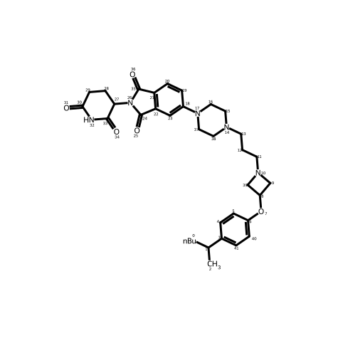 CCCCC(C)c1ccc(OC2CN(CCCN3CCN(c4ccc5c(c4)C(=O)N(C4CCC(=O)NC4=O)C5=O)CC3)C2)cc1